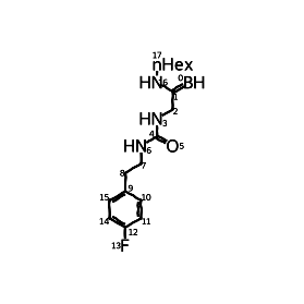 B=C(CNC(=O)NCCc1ccc(F)cc1)NCCCCCC